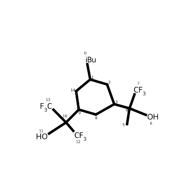 CCC(C)C1CC(C(C)(O)C(F)(F)F)CC(C(O)(C(F)(F)F)C(F)(F)F)C1